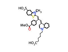 COC(=O)c1ccc(C(=C\c2sc3ccc(S(=O)(=O)O)cc3[n+]2C)/C=C2\C=CN(CCCCCC(=O)O)c3ccccc32)cc1